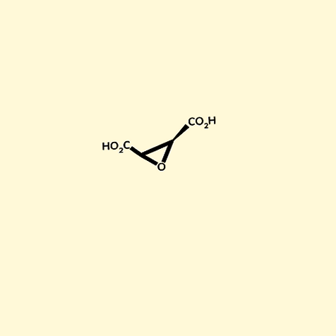 O=C(O)C1O[C@@H]1C(=O)O